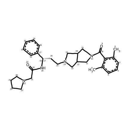 Cc1cccc(C)c1C(=O)N1CC2CN(CC[C@H](NC(=O)CN3CCCC3)c3ccccc3)CC2C1